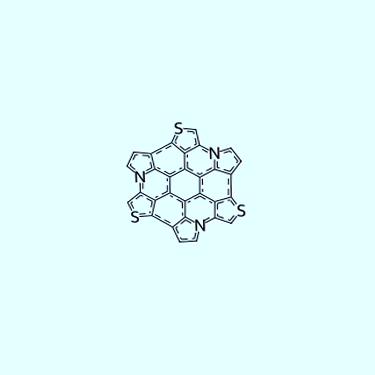 c1cn2c3csc4c5ccn6c7csc8c9ccn%10c%11csc%12c1c2c1c(c%12%11)c(c(c87)c(c1c43)c56)c9%10